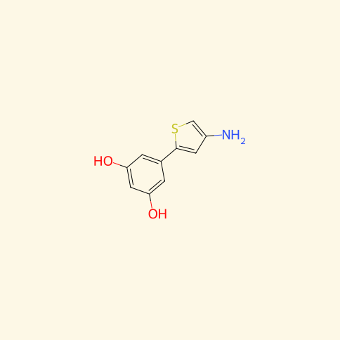 Nc1csc(-c2cc(O)cc(O)c2)c1